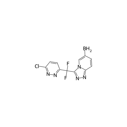 Bc1ccc2nnc(C(F)(F)c3ccc(Cl)nn3)n2c1